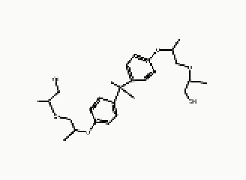 CC(CO)OCC(C)Oc1ccc(C(C)(C)c2ccc(OC(C)COC(C)CO)cc2)cc1